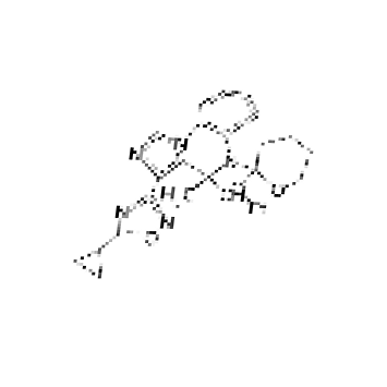 CCOC1(N2c3ccccc3-n3cnc(-c4noc(C5CC5)n4)c3C2(C)C)CCCCO1